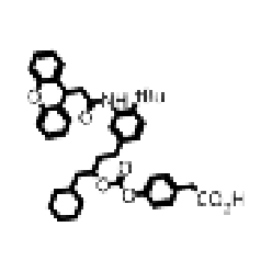 CC(C)(C)c1ccc(CCC(CC2CCCCC2)OC(=O)Oc2ccc(CC(=O)O)cc2)cc1NC(=O)CC1c2ccccc2Oc2ccccc21